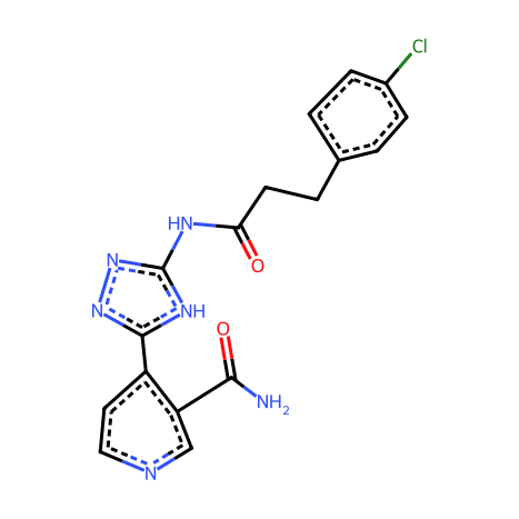 NC(=O)c1cnccc1-c1nnc(NC(=O)CCc2ccc(Cl)cc2)[nH]1